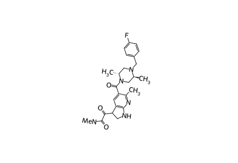 CNC(=O)C(=O)C1CNc2nc(C)c(C(=O)N3C[C@H](C)N(Cc4ccc(F)cc4)C[C@H]3C)cc21